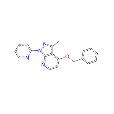 Cc1nn(-c2ccccn2)c2nccc(OCc3ccccc3)c12